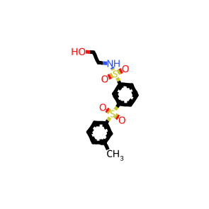 Cc1cccc(S(=O)(=O)c2cccc(S(=O)(=O)NCCO)c2)c1